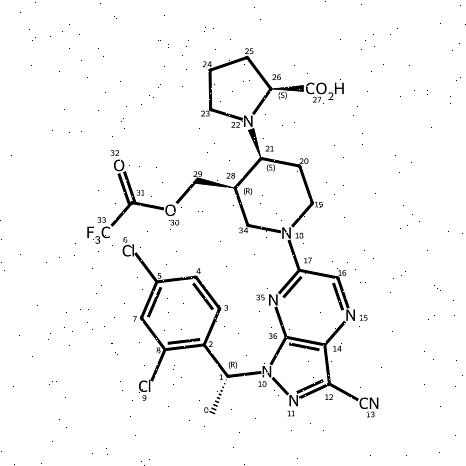 C[C@H](c1ccc(Cl)cc1Cl)n1nc(C#N)c2ncc(N3CC[C@H](N4CCC[C@H]4C(=O)O)[C@H](COC(=O)C(F)(F)F)C3)nc21